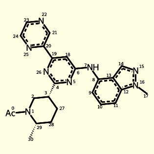 CC(=O)N1C[C@H](c2nc(Nc3cccc4c3cnn4C)cc(-c3cnccn3)n2)CC[C@@H]1C